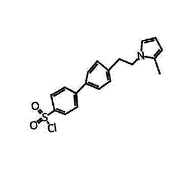 Cc1cccn1CCc1ccc(-c2ccc(S(=O)(=O)Cl)cc2)cc1